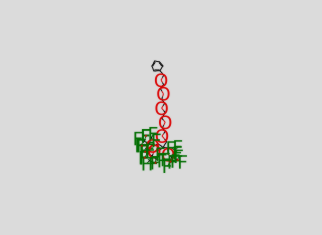 FC(F)(F)C(OCC(COCCOCCOCCOCCOCc1ccccc1)(COC(C(F)(F)F)(C(F)(F)F)C(F)(F)F)COC(C(F)(F)F)(C(F)(F)F)C(F)(F)F)(C(F)(F)F)C(F)(F)F